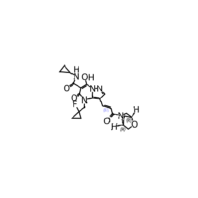 O=C(NC1CC1)c1c(O)n2ncc(/C=C/C(=O)N3C[C@H]4C[C@@H]3CO4)c2n(CC2(F)CC2)c1=O